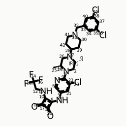 C[C@@H]1CN(c2ncc(Nc3c(NCC(F)(F)F)c(=O)c3=O)cc2Cl)[C@@H](C)CN1C1CCN(Cc2cc(Cl)cc(Cl)c2)CC1